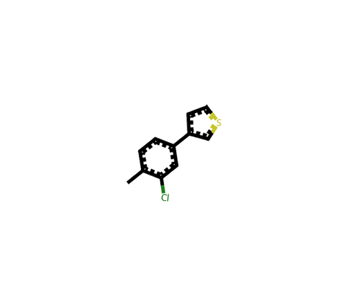 Cc1ccc(-c2c[c]sc2)cc1Cl